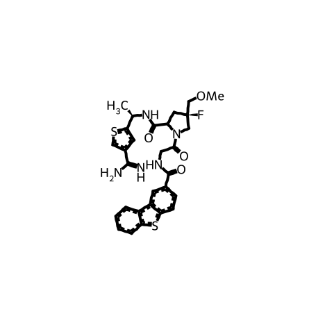 COC[C@@]1(F)CC(C(=O)N[C@H](C)c2cc(C(=N)N)cs2)N(C(=O)CNC(=O)c2ccc3sc4ccccc4c3c2)C1